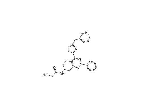 C=CC(=O)NC1CCc2c(nc(-c3ccccc3)nc2-c2ccn(Cc3cccnc3)n2)C1